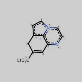 CCOC(=O)C1=Cc2nccn3ccc(c23)C1